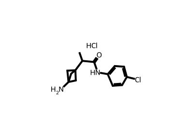 CC(C(=O)Nc1ccc(Cl)cc1)C12CC(N)(C1)C2.Cl